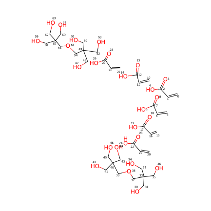 C=CC(=O)O.C=CC(=O)O.C=CC(=O)O.C=CC(=O)O.C=CC(=O)O.C=CC(=O)O.OCC(CO)(CO)COCC(CO)(CO)CO.OCC(CO)(CO)COCC(CO)(CO)CO